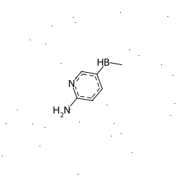 CBc1ccc(N)nc1